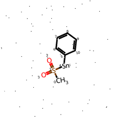 C[S](=O)(=O)[Sn][c]1ccccc1